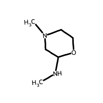 CNC1CN(C)CCO1